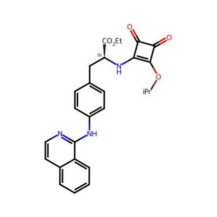 CCOC(=O)[C@H](Cc1ccc(Nc2nccc3ccccc23)cc1)Nc1c(OC(C)C)c(=O)c1=O